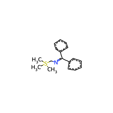 CS(C)(C)CN=C(c1ccccc1)c1ccccc1